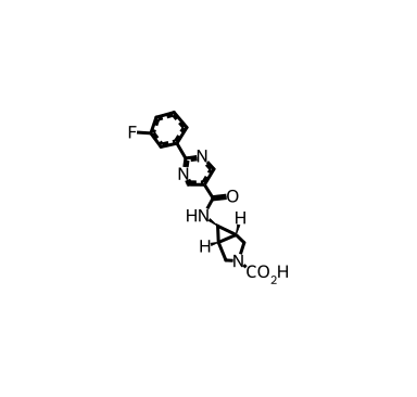 O=C(N[C@H]1[C@@H]2CN(C(=O)O)C[C@@H]21)c1cnc(-c2cccc(F)c2)nc1